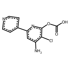 Nc1cc(-c2ccncc2)nc(OC(=O)O)c1Cl